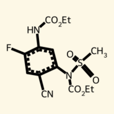 CCOC(=O)Nc1cc(N(C(=O)OCC)S(C)(=O)=O)c(C#N)cc1F